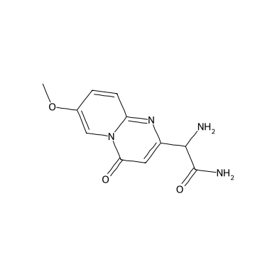 COc1ccc2nc(C(N)C(N)=O)cc(=O)n2c1